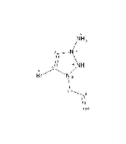 C=CCN1NN(N)C=C1Br